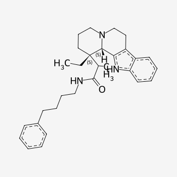 CC[C@@]1(C(C)C(=O)NCCCCc2ccccc2)CCCN2CCc3c([nH]c4ccccc34)[C@@H]21